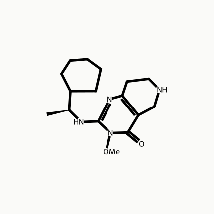 COn1c(N[C@@H](C)C2CCCCC2)nc2c(c1=O)CNCC2